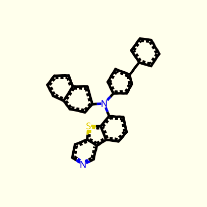 c1ccc(-c2ccc(N(c3ccc4ccccc4c3)c3cccc4c3sc3ccncc34)cc2)cc1